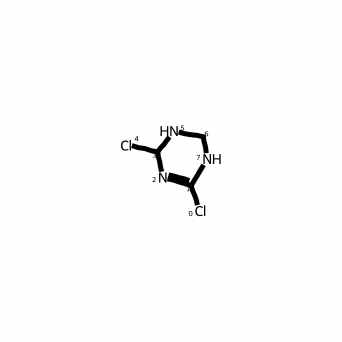 ClC1=NC(Cl)NCN1